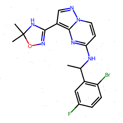 CC(Nc1ccn2ncc(C3=NOC(C)(C)N3)c2n1)c1cc(F)ccc1Br